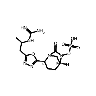 CC(Cc1nnc([C@@H]2CC[C@@H]3CN2C(=O)N3OS(=O)(=O)O)o1)NC(=N)N